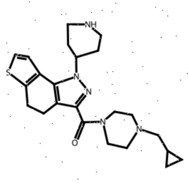 O=C(c1nn(C2CCNCC2)c2c1CCc1sccc1-2)N1CCN(CC2CC2)CC1